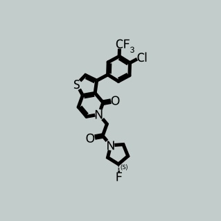 O=C(Cn1ccc2scc(-c3ccc(Cl)c(C(F)(F)F)c3)c2c1=O)N1CC[C@H](F)C1